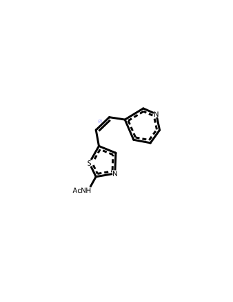 CC(=O)Nc1ncc(/C=C\c2cccnc2)s1